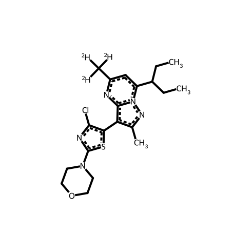 [2H]C([2H])([2H])c1cc(C(CC)CC)n2nc(C)c(-c3sc(N4CCOCC4)nc3Cl)c2n1